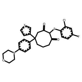 O=C1CCCC(c2ccc(N3CCOCC3)cc2)(c2ccsc2)CC(=O)C1Sc1ccc(F)cc1Cl